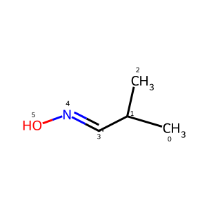 CC(C)/[C]=N/O